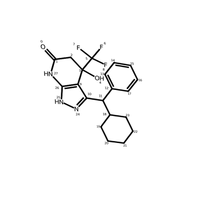 O=C1CC(O)(C(F)(F)F)c2c(C(c3ccccc3)C3CCCCC3)n[nH]c2N1